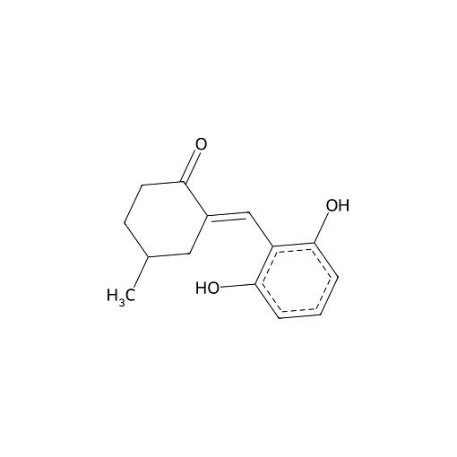 CC1CCC(=O)C(=Cc2c(O)cccc2O)C1